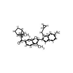 CC(=O)c1ccc2cc(-c3oc4cc(C(=O)N5CC6CCC5[C@@H]6C)ccc4c3C)n(CC3CC3)c2c1